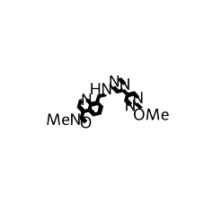 CNC(=O)c1ccnc2c(CCNc3cc(-c4cnc(COC)nc4)ncn3)cccc12